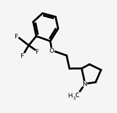 CN1CCCC1CCOc1ccccc1C(F)(F)F